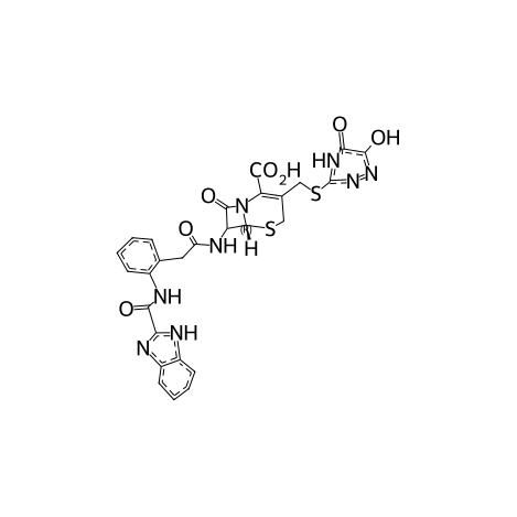 O=C(Cc1ccccc1NC(=O)c1nc2ccccc2[nH]1)NC1C(=O)N2C(C(=O)O)=C(CSc3nnc(O)c(=O)[nH]3)CS[C@H]12